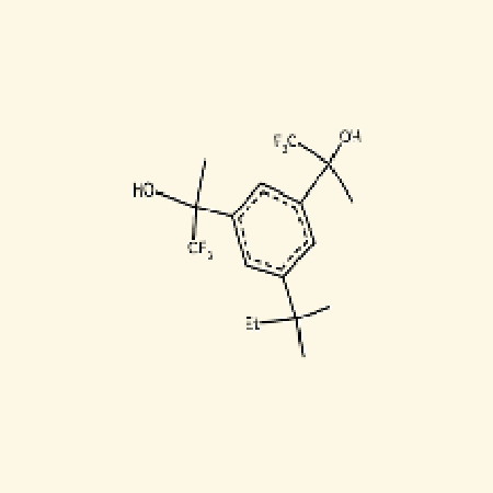 CCC(C)(C)c1cc(C(C)(O)C(F)(F)F)cc(C(C)(O)C(F)(F)F)c1